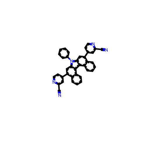 N#Cc1cc(-c2cc3c(c4ccccc24)c2c4ccccc4c(-c4ccnc(C#N)c4)cc2n3-c2ccccc2)ccn1